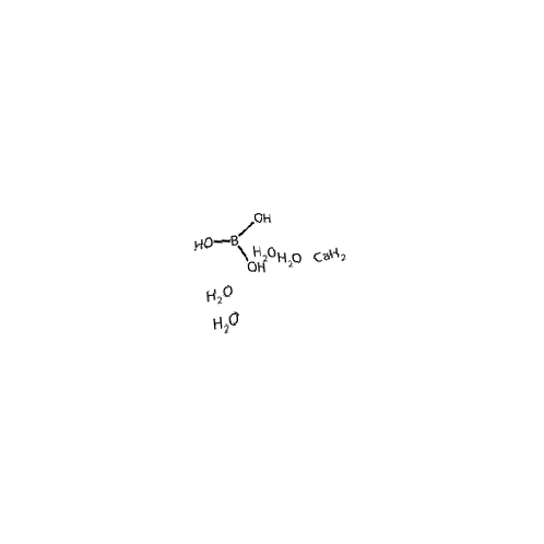 O.O.O.O.OB(O)O.[CaH2]